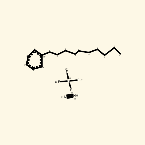 CCCCCCCCCCc1ccccc1.F[B-](F)(F)F.N#[NH+]